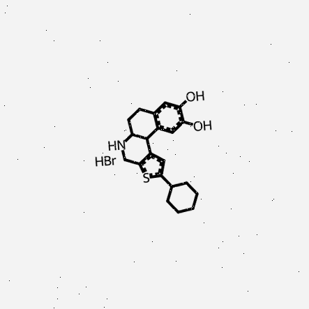 Br.Oc1cc2c(cc1O)C1c3cc(C4CCCCC4)sc3CNC1CC2